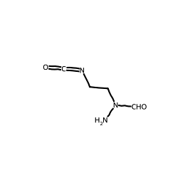 NN(C=O)CCN=C=O